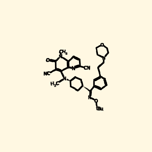 Cn1c(=O)c(C#N)c(N(C)[C@H]2CC[C@@H](/C(=N/OC(C)(C)C)c3cccc(CCN4CCOCC4)c3)CC2)c2nc(C#N)ccc21